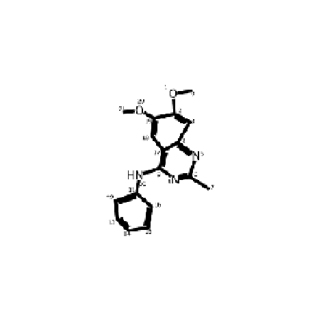 COc1cc2nc(C)nc(Nc3ccccc3)c2cc1OC